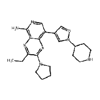 CCc1nc2c(N)ncc(-c3cnn(C4CCNCC4)c3)c2nc1N1CCCC1